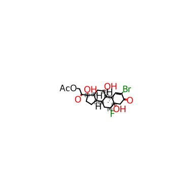 CC(=O)OCC(=O)[C@@]1(O)CC[C@H]2[C@@H]3C[C@@H](F)[C@@]4(O)CC(=O)C(Br)=C[C@]4(C)[C@H]3[C@H](O)C[C@@]21C